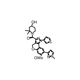 COc1cc2c(cc1-c1ccn(C)n1)-c1c(c(C(=O)N3CCC(O)CC3(C)C)nn1-c1ccsc1)CO2